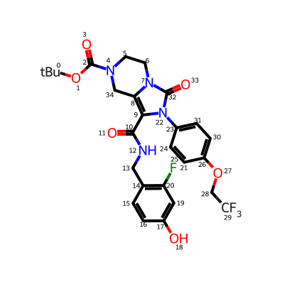 CC(C)(C)OC(=O)N1CCn2c(c(C(=O)NCc3ccc(O)cc3F)n(-c3ccc(OCC(F)(F)F)cc3)c2=O)C1